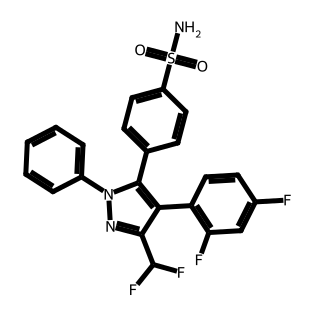 NS(=O)(=O)c1ccc(-c2c(-c3ccc(F)cc3F)c(C(F)F)nn2-c2ccccc2)cc1